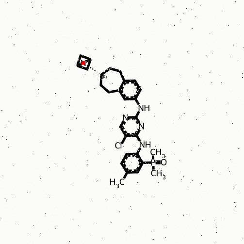 Cc1ccc(Nc2nc(Nc3ccc4c(c3)CC[C@H](N3CC5CC3C5)CC4)ncc2Cl)c(P(C)(C)=O)c1